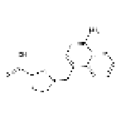 Nc1ccc(CN2CCC(C(=O)O)C2)c2ccccc12